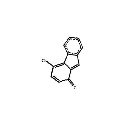 O=C1C=CC(Cl)=C2C1=Cc1ccccc12